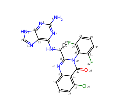 CCC(Nc1nc(N)nc2[nH]cnc12)c1nc2cccc(Cl)c2c(=O)n1-c1c(F)cccc1F